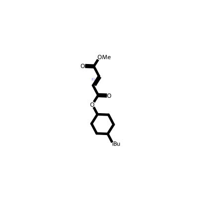 CCC(C)C1CCC(OC(=O)/C=C/C(=O)OC)CC1